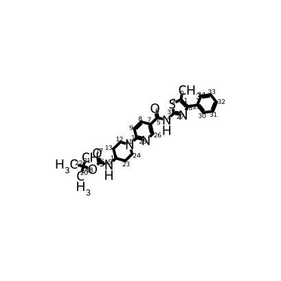 Cc1sc(NC(=O)c2ccc(N3CCC(NC(=O)OC(C)(C)C)CC3)nc2)nc1-c1ccccc1